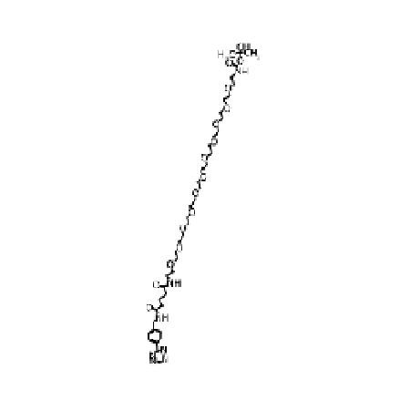 CC(C)(C)OC(=O)NCCOCCOCCOCCOCCOCCOCCOCCOCCOCCOCCOCCNC(=O)CCCC(=O)NCc1ccc(-c2nncnn2)cc1